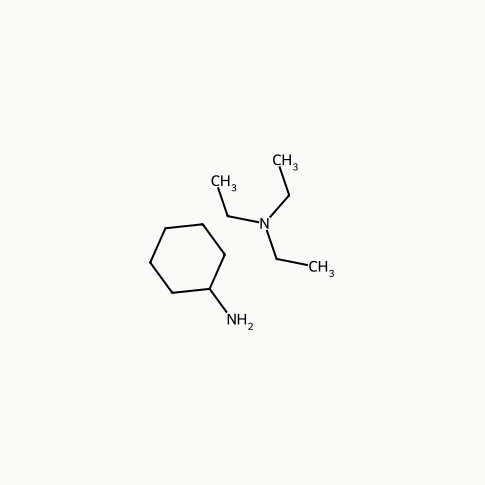 CCN(CC)CC.NC1CCCCC1